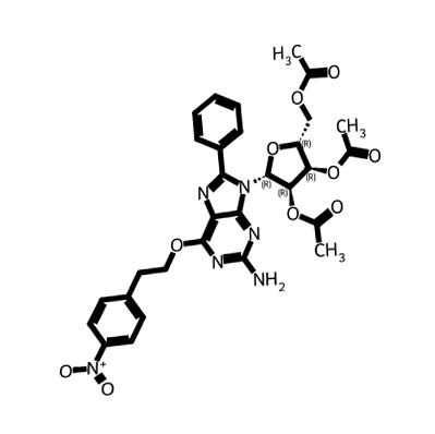 CC(=O)OC[C@H]1O[C@@H](n2c(-c3ccccc3)nc3c(OCCc4ccc([N+](=O)[O-])cc4)nc(N)nc32)[C@H](OC(C)=O)[C@@H]1OC(C)=O